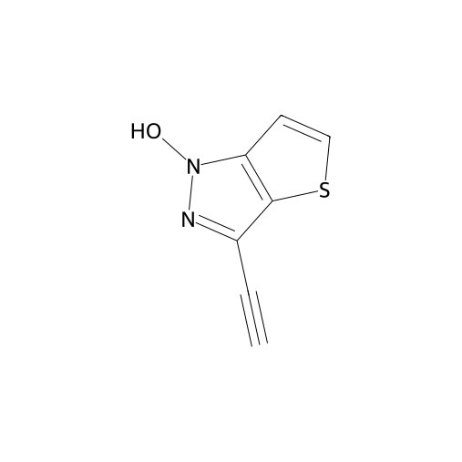 C#Cc1nn(O)c2ccsc12